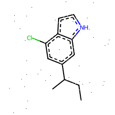 CCC(C)c1cc(Cl)c2cc[nH]c2c1